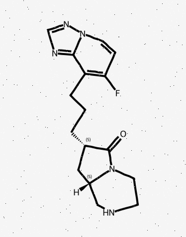 O=C1[C@@H](CCCc2c(F)ccn3ncnc23)C[C@H]2CNCCN12